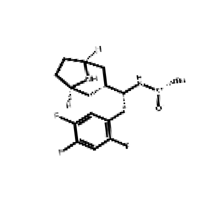 CC(C)(C)[S@+]([O-])N[C@H](Cc1cc(F)c(F)cc1F)[C@@H]1C[C@H]2CC[C@@H](C1)N2